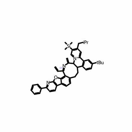 C=C/C1=N/C(=C)C2C(CCc3ccc4c(oc5nc(-c6ccccc6)ccc54)c31)c1ccc(C(C)(C)C)cc1-c1cc(CC(C)C)c([Si](C)(C)C)c[n+]12